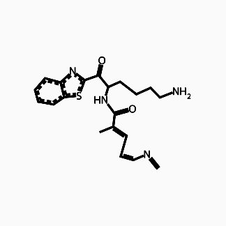 C=N/C=C\C=C(/C)C(=O)NC(CCCCN)C(=O)c1nc2ccccc2s1